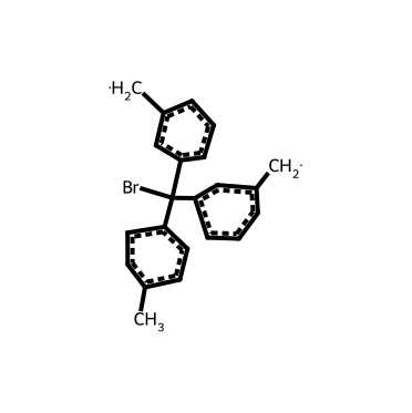 [CH2]c1cccc(C(Br)(c2ccc(C)cc2)c2cccc([CH2])c2)c1